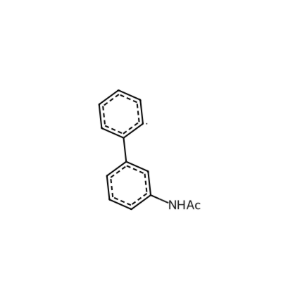 CC(=O)Nc1cccc(-c2[c]cccc2)c1